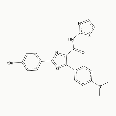 CN(C)c1ccc(-c2oc(-c3ccc(C(C)(C)C)cc3)nc2C(=O)Nc2nccs2)cc1